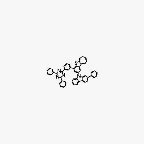 C1=CCC=c2sc3c(-c4cccc(-c5nc(-c6ccccc6)nc(-c6ccccc6)n5)c4)cc(-n4c5ccccc5c5ccc(-c6ccccc6)cc54)cc3c2=C1